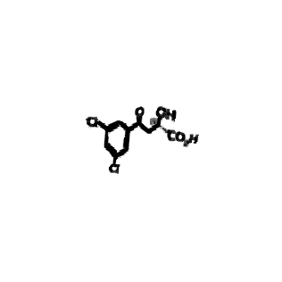 O=C(C[C@H](O)C(=O)O)c1cc(Cl)cc(Cl)c1